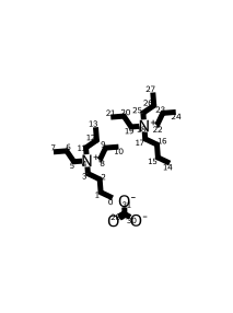 CCCC[N+](CCC)(CCC)CCC.CCCC[N+](CCC)(CCC)CCC.O=C([O-])[O-]